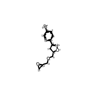 Brc1ccc(C2=NOC(COCC3CO3)C2)nc1